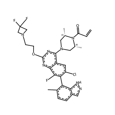 C=CC(=O)N1[C@H](C)CN(c2nc(OCCN3CC(F)(F)C3)nc3c(F)c(-c4c(C)ccc5cn[nH]c45)c(Cl)cc23)C[C@@H]1C